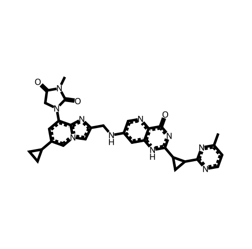 Cc1ccnc(C2CC2c2nc(=O)c3ncc(NCc4cn5cc(C6CC6)cc(N6CC(=O)N(C)C6=O)c5n4)cc3[nH]2)n1